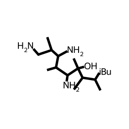 CCC(C)C(C)C(C)C(C)(O)C(N)C(C)C(N)C(C)CN